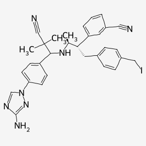 C[C@H](NC(c1ccc(-n2cnc(N)n2)cc1)C(C)(C)C#N)[C@@H](Cc1ccc(CI)cc1)c1cccc(C#N)c1